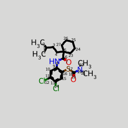 CC(C)CCC1(C(=O)Nc2cc(Cl)c(Cl)cc2SC(=O)N(C)C)CCCCC1